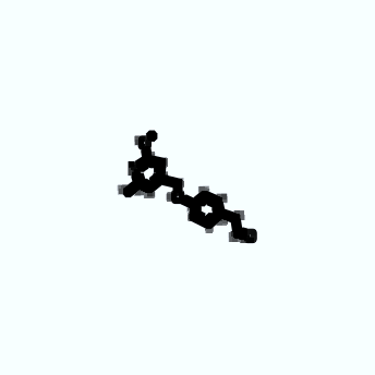 COc1cc(COc2ccc(C[C]=O)cc2)cc(C)n1